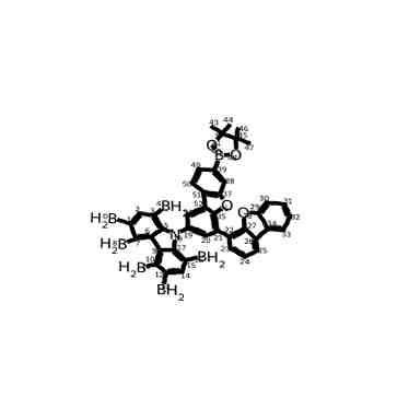 Bc1cc(B)c2c(c1B)c1c(B)c(B)cc(B)c1n2-c1cc(-c2cccc3c2oc2ccccc23)c2oc3cc(B4OC(C)(C)C(C)(C)O4)ccc3c2c1